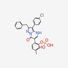 Cc1ccc(-c2c[nH]c3c(-c4ccc(Cl)cc4)c(Cc4ccccc4)nn3c2=O)c(OP(=O)(O)O)c1